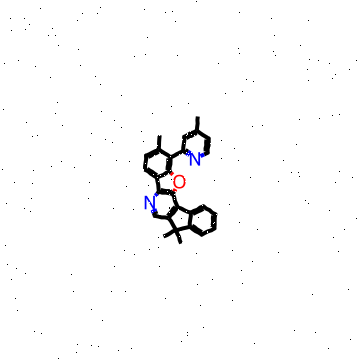 Cc1ccnc(-c2c(C)ccc3c2oc2c4c(cnc23)C(C)(C)c2ccccc2-4)c1